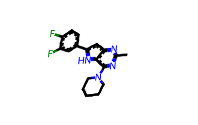 Cc1nc(N2CCCCC2)c2[nH]c(-c3ccc(F)c(F)c3)cc2n1